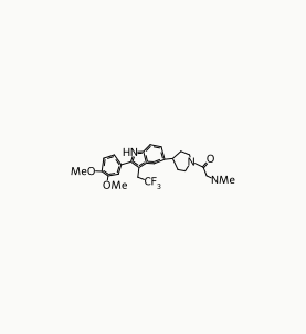 CNCC(=O)N1CCC(c2ccc3[nH]c(-c4ccc(OC)c(OC)c4)c(CC(F)(F)F)c3c2)CC1